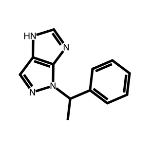 CC(c1ccccc1)n1ncc2[nH]cnc21